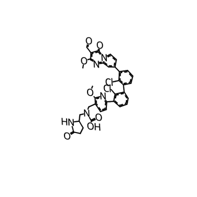 COc1nc(-c2cccc(-c3cccc(-c4ccn5c(=O)c(C=O)c(OC)nc5c4)c3Cl)c2Cl)ccc1CN(CC1CCC(=O)N1)C(=O)O